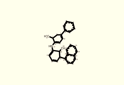 CC1CC(c2ccccc2)=CC=C1NC1=CC=CC(c2cccc3ccccc23)C1C